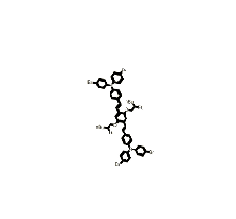 CCCCC(CC)COc1cc(/C=C/c2ccc(N(c3ccc(Br)cc3)c3ccc(Br)cc3)cc2)c(OCC(CC)CCCC)cc1/C=C/c1ccc(N(c2ccc(Br)cc2)c2ccc(Br)cc2)cc1